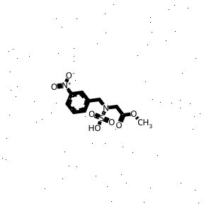 COC(=O)CN(Cc1cccc([N+](=O)[O-])c1)S(=O)(=O)O